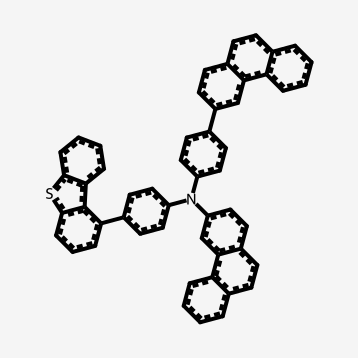 c1ccc2c(c1)ccc1ccc(-c3ccc(N(c4ccc(-c5cccc6sc7ccccc7c56)cc4)c4ccc5ccc6ccccc6c5c4)cc3)cc12